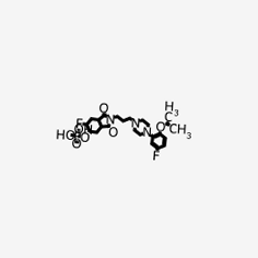 CC(C)Oc1ccc(F)cc1N1CCN(CCCN2C(=O)C3CC(F)C(OP(=O)(O)O)CC3C2=O)CC1